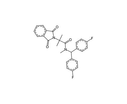 CN(C(=O)C(C)(C)N1C(=O)c2ccccc2C1=O)C(c1ccc(F)cc1)c1ccc(F)cc1